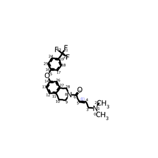 CN(C)C/C=C/C(=O)N1CCc2ccc(Oc3ccc(C(F)(F)F)cc3)cc2C1